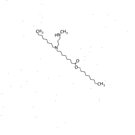 CCCCCCCCCOC(=O)CCCCCCCN(CCCCCCCC)CCCNC